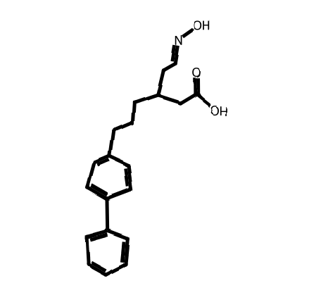 O=C(O)CC(CC=NO)CCCc1ccc(-c2ccccc2)cc1